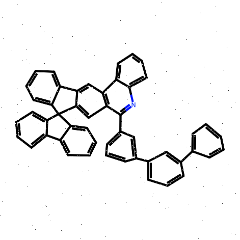 c1ccc(-c2cccc(-c3cccc(-c4nc5ccccc5c5cc6c(cc45)C4(c5ccccc5-c5ccccc54)c4ccccc4-6)c3)c2)cc1